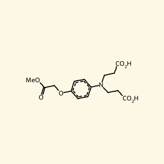 COC(=O)COc1ccc(N(CCC(=O)O)CCC(=O)O)cc1